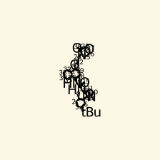 Cc1ccc(C(C)(C)C)cc1-n1nccc1NC(=O)Nc1ccc(OCCN2CCOCC2=O)c2ccccc12